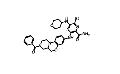 CCc1nc(C(N)=O)c(Nc2ccc3c(c2)OCC2CN(C(=O)c4ccccc4)CCN32)nc1NC1CCOCC1